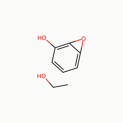 CCO.Oc1cccc2c1O2